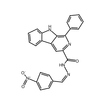 O=C(N/N=C\c1ccc([N+](=O)[O-])cc1)c1cc2c([nH]c3ccccc32)c(-c2ccccc2)n1